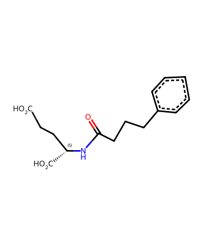 O=C(O)CC[C@H](NC(=O)CCCc1ccccc1)C(=O)O